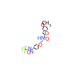 COc1ccc2oc(C(=O)NCCOc3ccc(-c4noc(C(F)(F)F)n4)cc3)cc2c1